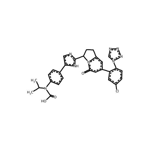 CC(C)N(C(=O)O)c1ccc(-c2cnc(C3CCc4cc(-c5cc(Cl)ccc5-n5cnnn5)cc(=O)n43)[nH]2)cc1